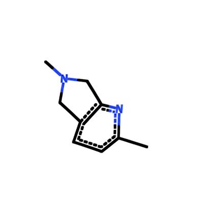 Cc1ccc2c(n1)CN(C)C2